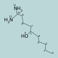 CCCCCC(O)CCCC(N)N